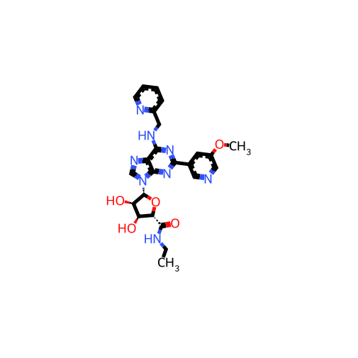 CCNC(=O)[C@H]1O[C@@H](n2cnc3c(NCc4ccccn4)nc(-c4cncc(OC)c4)nc32)[C@H](O)[C@@H]1O